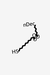 CCCCCCCCCCCCCCCC(=O)OC(=O)CCCCCCCCCCS